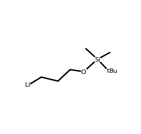 [Li][CH2]CCO[Si](C)(C)C(C)(C)C